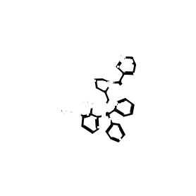 COc1cccc(C(OCC2CCCN2C(=O)c2cccnc2)(c2ccccc2)c2ccccc2)c1OC